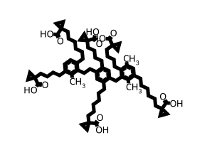 Cc1cc(CCCCCCC2(C(=O)O)CC2)c(C)c(Cc2cc(CCCCC3(C(=O)O)CC3)c(CCc3c(CCCCCCC4(C(=O)O)CC4)ccc(CCCCC4(C(=O)O)CC4)c3C)cc2CCCCCCC2(C(=O)O)CC2)c1CCCCC1(C(=O)O)CC1